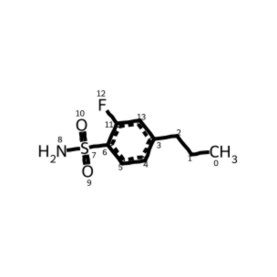 CCCc1ccc(S(N)(=O)=O)c(F)c1